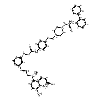 O=C(COc1cccc(CNC[C@H](O)c2ccc(O)c3[nH]c(=O)ccc23)c1)Nc1ccc(CCN2CCC(OC(=O)Nc3ccccc3-c3ccccc3)CC2)cc1